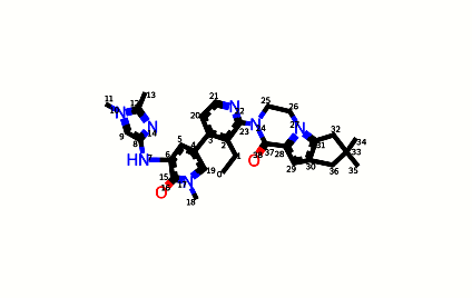 CCc1c(-c2cc(Nc3cn(C)c(C)n3)c(=O)n(C)c2)ccnc1N1CCn2c(cc3c2CC(C)(C)C3)C1=O